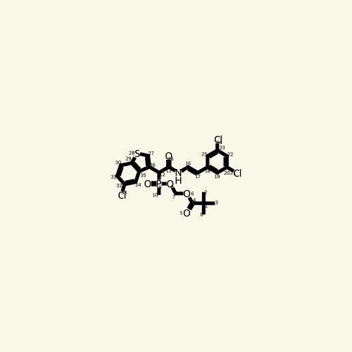 CC(C)(C)C(=O)OCOP(C)(=O)C(C(=O)N/C=C/c1cc(Cl)cc(Cl)c1)c1csc2ccc(Cl)cc12